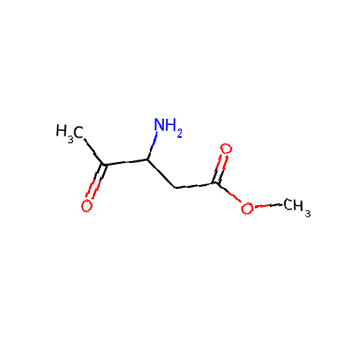 COC(=O)CC(N)C(C)=O